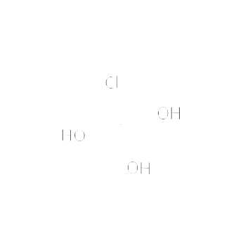 OC(O)(O)Cl